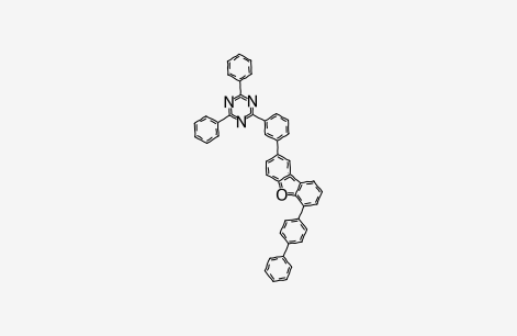 c1ccc(-c2ccc(-c3cccc4c3oc3ccc(-c5cccc(-c6nc(-c7ccccc7)nc(-c7ccccc7)n6)c5)cc34)cc2)cc1